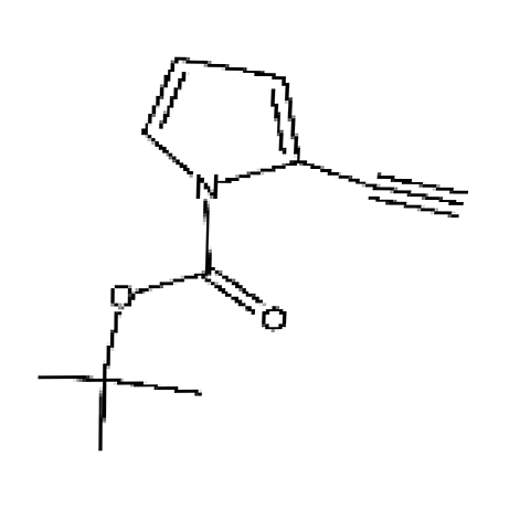 C#Cc1cccn1C(=O)OC(C)(C)C